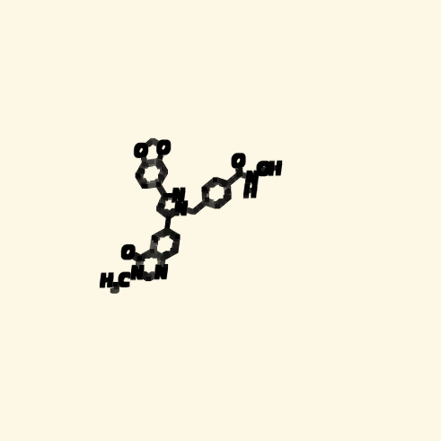 Cn1cnc2ccc(-c3cc(-c4ccc5c(c4)OCO5)nn3Cc3ccc(C(=O)NO)cc3)cc2c1=O